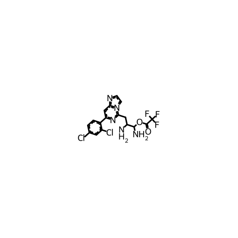 NC(Cc1nc(-c2ccc(Cl)cc2Cl)cc2nccn12)C(N)OC(=O)C(F)(F)F